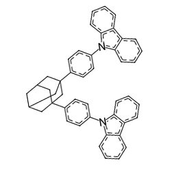 c1ccc2c(c1)c1ccccc1n2-c1ccc(C23CC4CC(C2)CC(c2ccc(-n5c6ccccc6c6ccccc65)cc2)(C4)C3)cc1